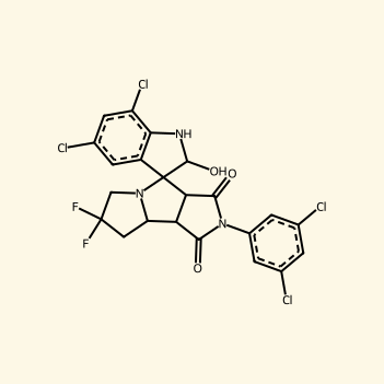 O=C1C2C3CC(F)(F)CN3C3(c4cc(Cl)cc(Cl)c4NC3O)C2C(=O)N1c1cc(Cl)cc(Cl)c1